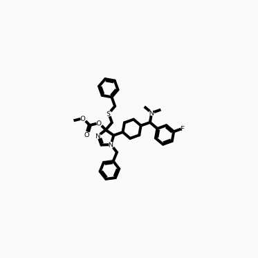 COC(=O)OC1(CSCc2ccccc2)N=CN(Cc2ccccc2)C1C1CCC(C(c2cccc(F)c2)N(C)C)CC1